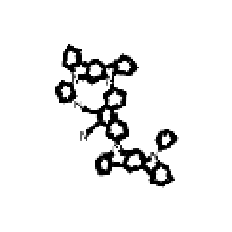 N#Cc1c(C#N)c2cc(-n3c4ccccc4c4cc5c6ccccc6n(-c6ccccc6)c5cc43)ccc2c2ccc(-n3c4ccccc4c4cc5c6ccccc6n(-c6ccccc6)c5cc43)cc12